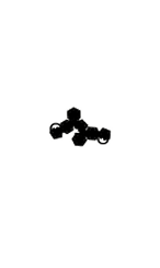 c1ccc(N(c2ccc(-c3ccco3)cc2)c2ccc(N(c3ccccc3)c3ccc(-c4ccco4)cc3)s2)cc1